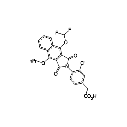 CCCOc1c2c(c(OC(F)F)c3ccccc13)C(=O)N(c1ccc(CC(=O)O)cc1Cl)C2=O